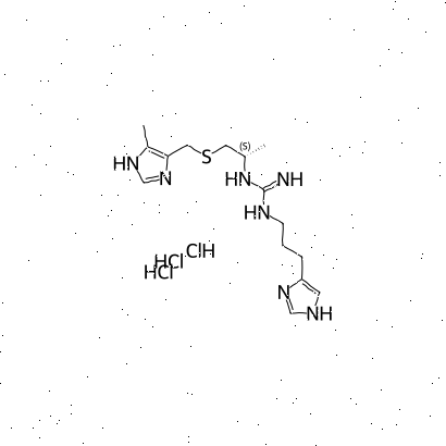 Cc1[nH]cnc1CSC[C@H](C)NC(=N)NCCCc1c[nH]cn1.Cl.Cl.Cl